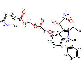 CCc1c(C(=O)C(N)=O)c2c(OCC(=O)OCOC(=O)c3cccnc3)cccc2n1Cc1ccccc1